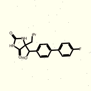 CC(C)CC1(C(O)c2ccc(-c3ccc(F)cc3)cc2)NC(=O)NC1=O